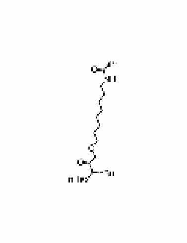 CCCCCCC(CCCC)C(=O)COCCCCCCCCNC(=O)C(C)C